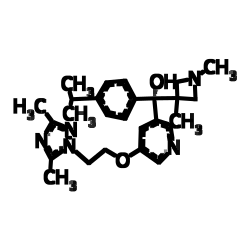 Cc1nc(C)n(CCOc2cncc([C@@](O)(c3ccc(C(C)C)cc3)C3(C)CN(C)C3)c2)n1